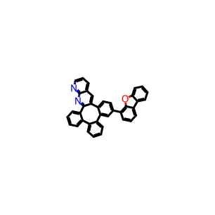 c1ccc2c(c1)-c1cc(-c3cccc4c3oc3ccccc34)ccc1-c1cc3cccnc3nc1-c1ccccc1-2